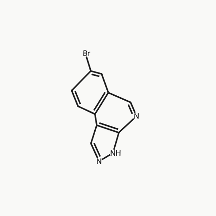 Brc1ccc2c(cnc3[nH]ncc32)c1